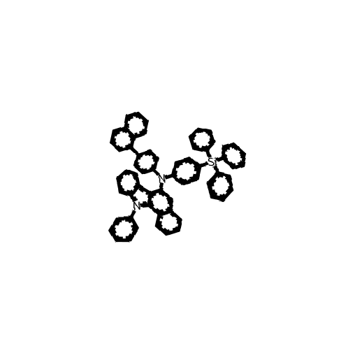 c1ccc(-n2c3ccccc3c3c(N(c4ccc(-c5cccc6ccccc56)cc4)c4ccc([Si](c5ccccc5)(c5ccccc5)c5ccccc5)cc4)cc4ccccc4c32)cc1